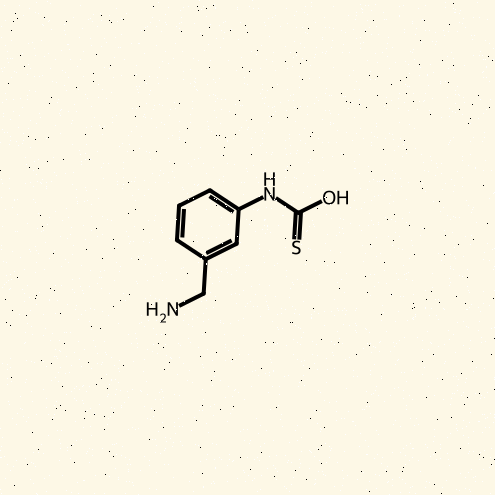 NCc1cccc(NC(O)=S)c1